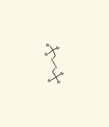 BrC(Br)(Br)CSSCC(Br)(Br)Br